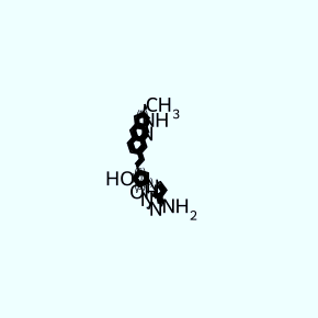 CC[C@@H]1Cc2cc3ccc(CC[C@H]4C[C@@H](n5ccc6c(N)ncnc65)[C@H](O)[C@@H]4O)cc3nc2N1